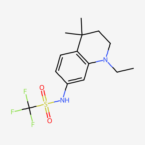 CCN1CCC(C)(C)c2ccc(NS(=O)(=O)C(F)(F)F)cc21